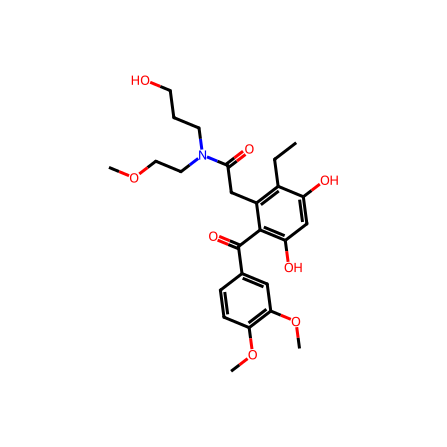 CCc1c(O)cc(O)c(C(=O)c2ccc(OC)c(OC)c2)c1CC(=O)N(CCCO)CCOC